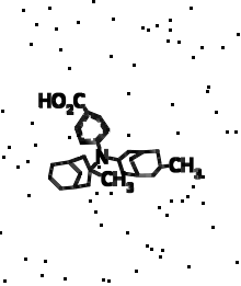 CC1CC2CC(C1)CC(N(c1ccc(C(=O)O)cc1)C1(C)CC3CCCC(C3)C1)C2